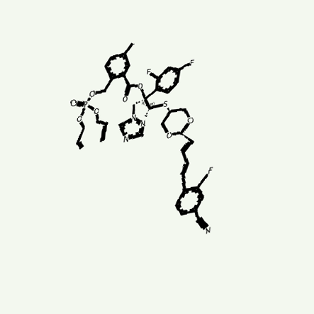 C=CCOP(=O)(OCC=C)OCc1ccc(C)cc1C(=O)O[C@@](Cn1cncn1)(c1ccc(F)cc1F)[C@@H](C)S[C@H]1CO[C@H](C=CC=Cc2ccc(C#N)cc2F)OC1